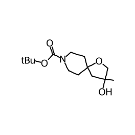 CC1(O)COC2(CCN(C(=O)OC(C)(C)C)CC2)C1